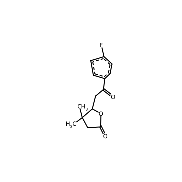 CC1(C)CC(=O)OC1CC(=O)c1ccc(F)cc1